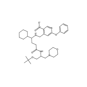 CC(C)(C)OCC(CN1CCOCC1)NC(=O)CCC(NCc1cc(Oc2ccccc2)ncc1[N+](=O)[O-])C1CCCCC1